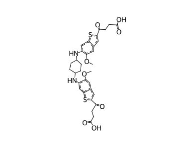 COc1cc2cc(C(=O)CCC(=O)O)sc2cc1NC1CCC(Nc2cc3sc(C(=O)CCC(=O)O)cc3cc2OC)CC1